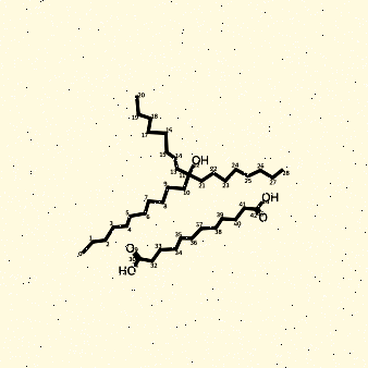 CCCCCCCCCCCC(O)(CCCCCCCC)CCCCCCCC.O=C(O)CCCCCCCCCCC(=O)O